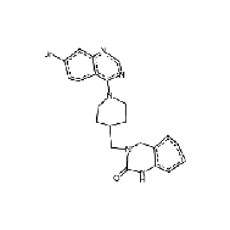 O=C1Nc2ccccc2CN1CC1CCN(c2ncnc3cc(Br)ccc23)CC1